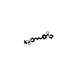 CC(C)(C)OC(=O)N1CCC(CCCCc2ccc(C(=O)N3CCCC3)cc2)CC1